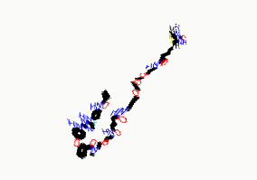 C=CC(=O)Nc1cccc(Nc2nc(Nc3ccc(Oc4cccc(C(=O)N(C)CCOCCNC(=O)CCCC(=O)NCCCOCCOCCOCCCNC(=O)CCCC[C@@H]5SC[C@@H]6NC(=O)N[C@@H]65)c4)cc3)ncc2F)c1